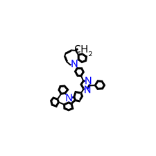 C=C1/C=C\C=C/CN(c2ccc(-c3cc(-c4ccc5c6cccc7c6n(c5c4)-c4ccccc4-c4ccccc4-7)nc(-c4ccccc4)n3)cc2)c2ccccc21